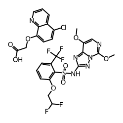 COc1cnc(OC)n2nc(NS(=O)(=O)c3c(OCC(F)F)cccc3C(F)(F)F)nc12.O=C(O)COc1ccc(Cl)c2cccnc12